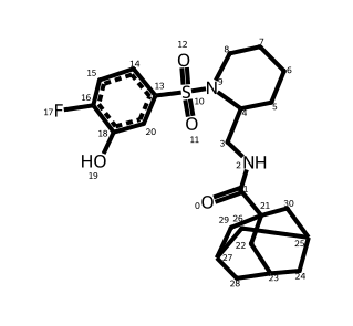 O=C(NCC1CCCCN1S(=O)(=O)c1ccc(F)c(O)c1)C12CC3CC(CC(C3)C1)C2